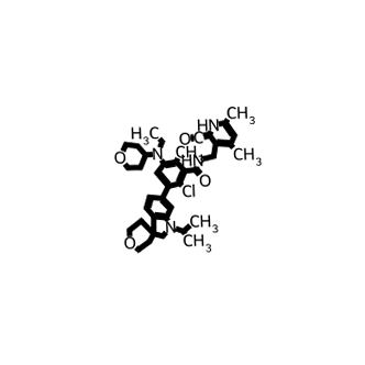 CCN(c1cc(-c2ccc3c(c2)N(C(C)C)CC32CCOCC2)c(Cl)c(C(=O)NCC2=C(C)C=C(C)NC2=C=O)c1C)C1CCOCC1